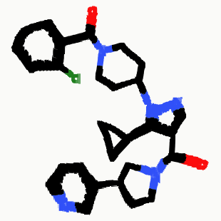 O=C(c1ccccc1Cl)N1CCC(n2ncc(C(=O)N3CCC(c4cccnc4)C3)c2C2CC2)CC1